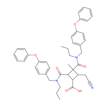 CCCN(Cc1ccc(Oc2ccccc2)cc1)C(=O)C1C(C(=O)O)C(CC#N)C1(C)C(=O)N(CCC)Cc1ccc(Oc2ccccc2)cc1